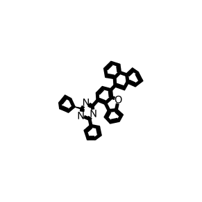 C1=CC[C@@H](c2nc(-c3ccccc3)nc(-c3ccc(-c4cc5ccccc5c5ccccc45)c4oc5ccccc5c34)n2)C=C1